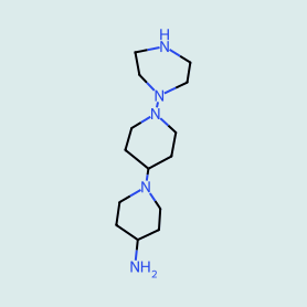 NC1CCN(C2CCN(N3CCNCC3)CC2)CC1